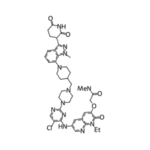 CCn1c(=O)c(OCC(=O)NC)cc2cc(Nc3nc(N4CCN(CC5CCN(c6cccc7c(C8CCC(=O)NC8=O)nn(C)c67)CC5)CC4)ncc3Cl)cnc21